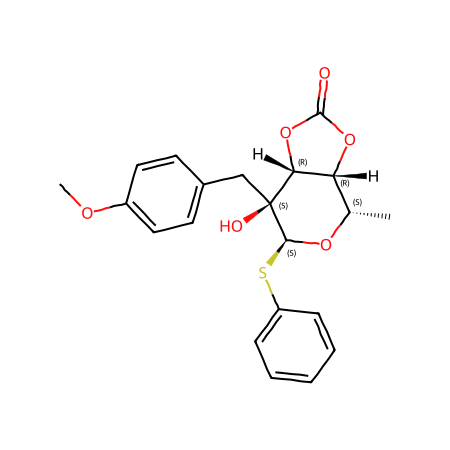 COc1ccc(C[C@]2(O)[C@@H]3OC(=O)O[C@@H]3[C@H](C)O[C@H]2Sc2ccccc2)cc1